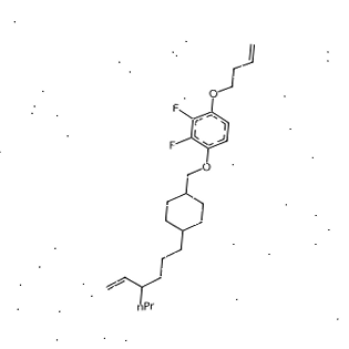 C=CCCOc1ccc(OCC2CCC(CCCC(C=C)CCC)CC2)c(F)c1F